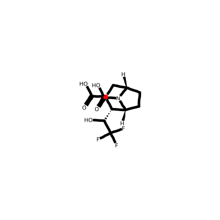 O=C(O)N1C[C@@H]2CC[C@H]([C@@H]1C(O)C(F)(F)F)N2C(=O)O